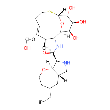 CC(C)C[C@@H]1CCO[C@@H]2[C@H](CN[C@@H]2C(=O)N[C@H]2[C@H]3O[C@H](SCC/C=C/[C@@H]2C)[C@H](O)[C@@H](O)[C@H]3O)C1.O=CO